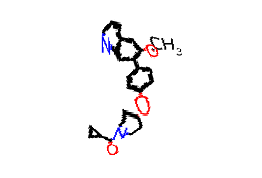 COc1cc2cccnc2cc1-c1ccc(OC2CCN(C(=O)C3CC3)CC2)cc1